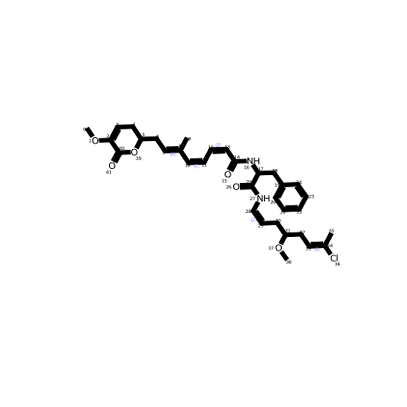 COC1=CCC(C/C=C(C)/C=C\C=C/C(=O)NC(Cc2ccccc2)C(=O)N/C=C\CC(C/C=C(\C)Cl)OC)OC1=O